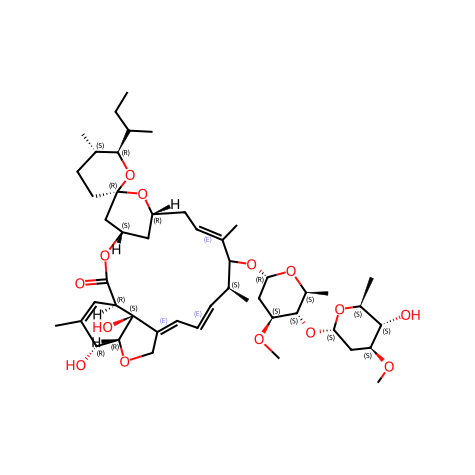 CCC(C)[C@H]1O[C@]2(CC[C@@H]1C)C[C@@H]1C[C@@H](C/C=C(\C)C(O[C@H]3C[C@H](OC)[C@@H](O[C@H]4C[C@H](OC)[C@@H](O)[C@H](C)O4)[C@H](C)O3)[C@@H](C)/C=C/C=C3\CO[C@@H]4[C@H](O)C(C)=C[C@@H](C(=O)O1)[C@]34O)O2